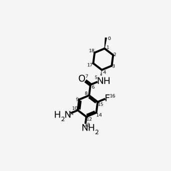 C[C@H]1CC[C@H](NC(=O)c2cc(N)c(N)cc2F)CC1